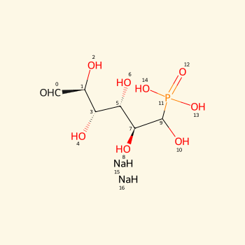 O=C[C@@H](O)[C@@H](O)[C@H](O)[C@H](O)C(O)P(=O)(O)O.[NaH].[NaH]